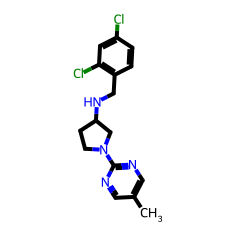 Cc1cnc(N2CCC(NCc3ccc(Cl)cc3Cl)C2)nc1